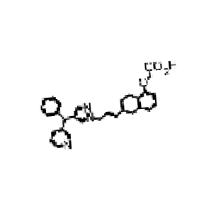 O=C(O)COc1cccc2c1CCC(C=CCn1cc(C(c3ccccc3)c3cccnc3)cn1)C2